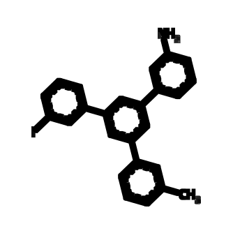 Cc1cccc(-c2cc(-c3cccc(N)c3)cc(-c3cccc(I)c3)c2)c1